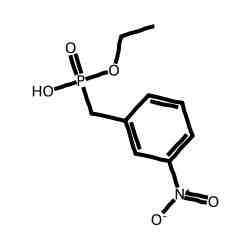 CCOP(=O)(O)Cc1cccc([N+](=O)[O-])c1